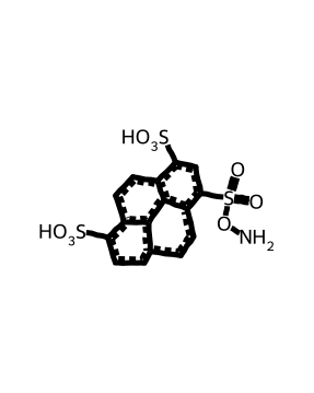 NOS(=O)(=O)c1cc(S(=O)(=O)O)c2ccc3c(S(=O)(=O)O)ccc4ccc1c2c43